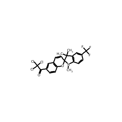 CN1c2ccc(C(F)(F)F)cc2C(C)(C)C12C=Cc1cc(C(=O)C(Cl)(Cl)Cl)ccc1O2